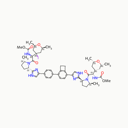 COC(=O)N[C@H](C(=O)N1[C@@H](C)CC[C@H]1c1nc(-c2ccc(-c3ccc(-c4c[nH]c([C@@H]5CC[C@H](C)N5C(=O)[C@@H](NC(=O)OC)[C@]5(I)C[C@@H](C)O[C@@H](C)C5)n4)cc3)c3c2CC3)c[nH]1)[C@H]1C[C@@H](C)O[C@@H](C)C1